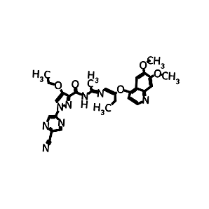 CCOc1cn(-c2cnc(C#N)cn2)nc1C(=O)N/C(C)=N/C=C(\CC)Oc1ccnc2cc(OC)c(OC)cc12